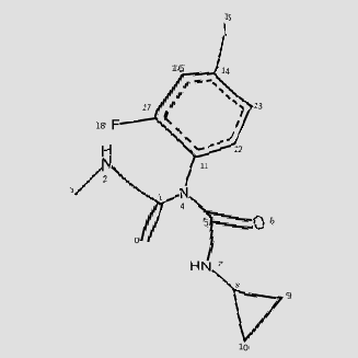 C=C(NC)N(C(=O)NC1CC1)c1ccc(I)cc1F